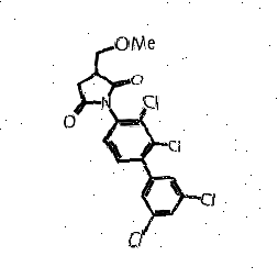 COCC1CC(=O)N(c2ccc(-c3cc(Cl)cc(Cl)c3)c(Cl)c2Cl)C1=O